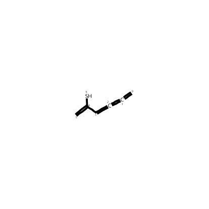 C=C=C=CC(=C)S